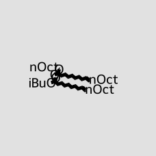 CCCCCCCCC=CCCCCCCCC(=O)OCC(C)C.CCCCCCCCC=CCCCCCCCC(=O)OCCCCCCCC